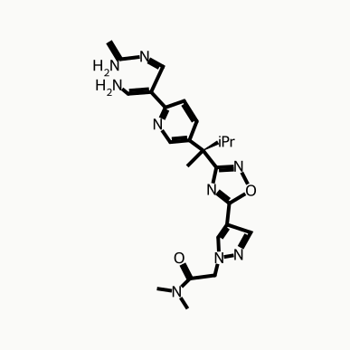 C=C(N)/N=C\C(=C/N)c1ccc([C@@](C)(c2noc(-c3cnn(CC(=O)N(C)C)c3)n2)C(C)C)cn1